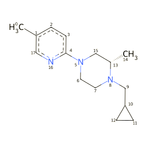 Cc1ccc(N2CCN(CC3CC3)[C@@H](C)C2)nc1